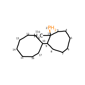 CC1(P)CCCCCCC1C1CCCCCCC1